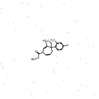 Cc1cc(F)ccc1C1(CC(=O)O)CC=CN(C(=O)OC(C)(C)C)C=C1F